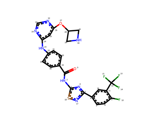 O=C(Nc1nc(-c2ccc(F)c(C(F)(F)F)c2)ns1)c1ccc(Nc2cc(OC3CNC3)ncn2)cc1